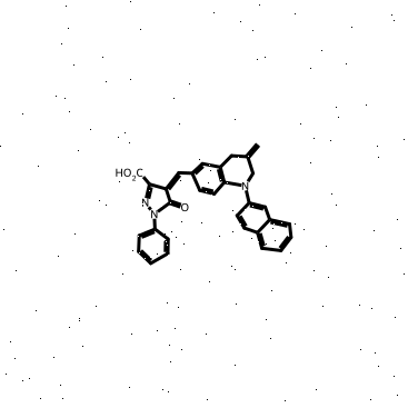 C=C1Cc2cc(/C=C3\C(=O)N(c4ccccc4)N=C3C(=O)O)ccc2N(c2ccc3ccccc3c2)C1